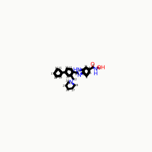 O=C(NO)c1ccc2nc(-c3ccc(-c4ccccc4)cc3CN3CCCCC3)[nH]c2c1